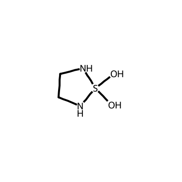 OS1(O)NCCN1